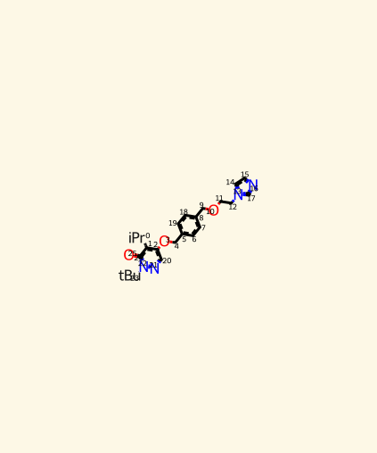 CC(C)c1c(OCc2ccc(COCCn3ccnc3)cc2)cnn(C(C)(C)C)c1=O